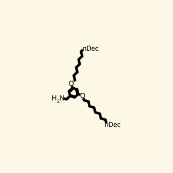 CCCCCCCCCCCCCCCCCCOc1cc(CN)cc(OCCCCCCCCCCCCCCCCCC)c1